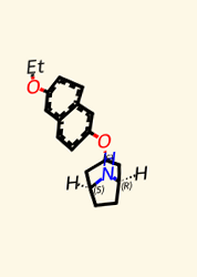 CCOc1ccc2cc(O[C@@H]3C[C@H]4CC[C@@H](C3)N4)ccc2c1